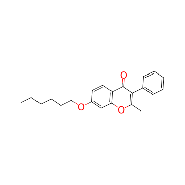 CCCCCCOc1ccc2c(=O)c(-c3ccccc3)c(C)oc2c1